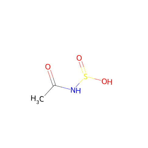 CC(=O)NS(=O)O